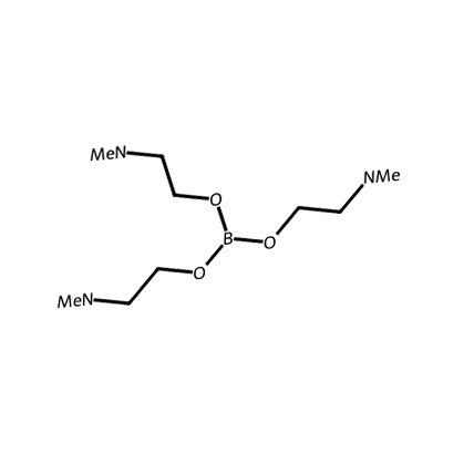 CNCCOB(OCCNC)OCCNC